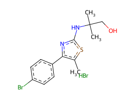 Br.Cc1sc(NC(C)(C)CO)nc1-c1ccc(Br)cc1